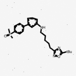 CC(C)(C)c1nc(CCCCCNc2cccc(-c3ccc(P(C)(C)=O)cc3)c2)no1